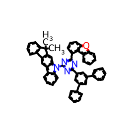 CC1(C)c2ccccc2-c2cc3c4ccccc4n(-c4nc(-c5cc(-c6ccccc6)cc(-c6ccccc6)c5)nc(-c5cccc6oc7ccccc7c56)n4)c3cc21